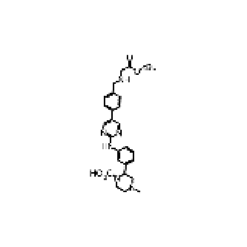 CN1CCN(C(=O)O)C(c2cccc(Nc3ncc(-c4ccc(CNCC(=O)OC(C)(C)C)cc4)cn3)c2)C1